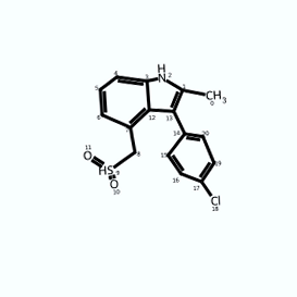 Cc1[nH]c2cccc(C[SH](=O)=O)c2c1-c1ccc(Cl)cc1